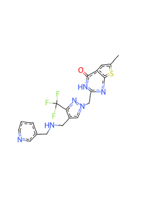 Cc1cc2c(=O)[nH]c(Cn3cc(CNCc4cccnc4)c(C(F)(F)F)n3)nc2s1